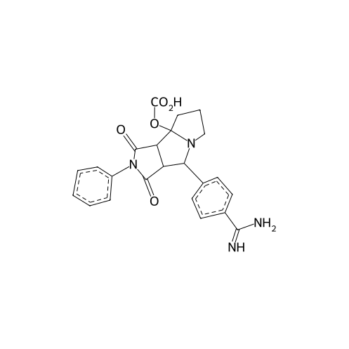 N=C(N)c1ccc(C2C3C(=O)N(c4ccccc4)C(=O)C3C3(OC(=O)O)CCCN23)cc1